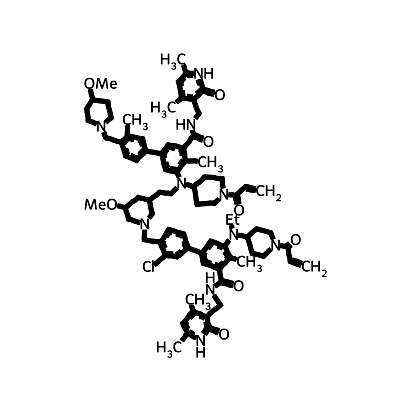 C=CC(=O)N1CCC(N(CC)c2cc(-c3ccc(CN4CC(CCN(c5cc(-c6ccc(CN7CCC(OC)CC7)c(C)c6)cc(C(=O)NCc6c(C)cc(C)[nH]c6=O)c5C)C5CCN(C(=O)C=C)CC5)CC(OC)C4)c(Cl)c3)cc(C(=O)NCc3c(C)cc(C)[nH]c3=O)c2C)CC1